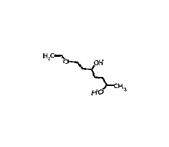 C=COCCC(O)CCC(C)O